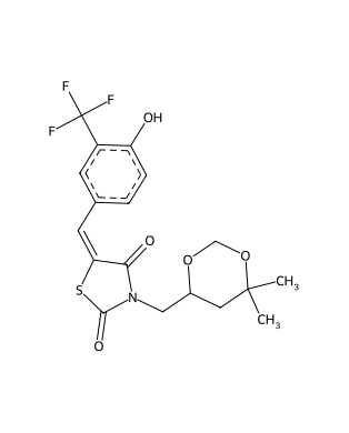 CC1(C)CC(CN2C(=O)SC(=Cc3ccc(O)c(C(F)(F)F)c3)C2=O)OCO1